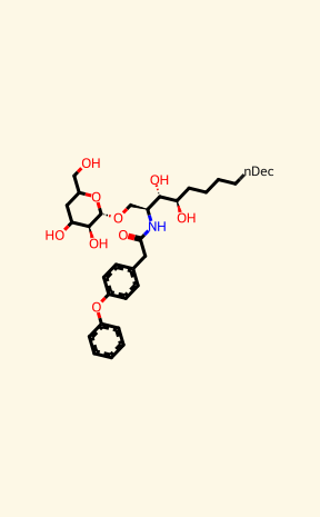 CCCCCCCCCCCCCC[C@@H](O)[C@@H](O)[C@H](CO[C@H]1OC(CO)CC(O)[C@@H]1O)NC(=O)Cc1ccc(Oc2ccccc2)cc1